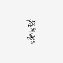 CC(C)Oc1ccccc1NCCN(C=O)CCCN1C(=O)C2CC=CCC2C1=O